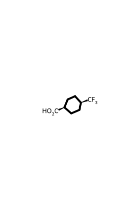 O=C(O)[C@H]1CC[C@@H](C(F)(F)F)CC1